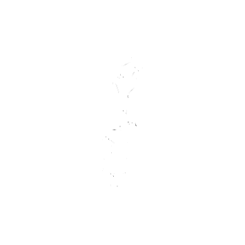 CC(C)(C)N1CCC(c2ncc(C(=O)NCc3ccn4ccnc4c3)s2)CC1